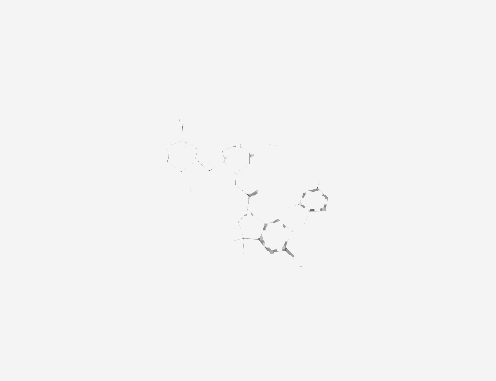 C[C@@H]1CN(CC(=O)N2CC(C)(C)c3cc(=O)n(Cc4ccc(F)cc4F)cc32)[C@@H](CN2C[C@H](C)OC[C@H]2C)CN1